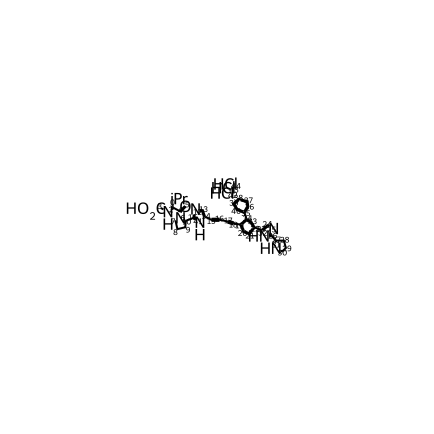 CC(C)[C@H](NC(=O)O)C(=O)N1CCCC1c1ncc(C#CC#Cc2ccc(-c3cnc(C4CCCN4)[nH]3)cc2-c2ccccc2)[nH]1.Cl.Cl.Cl